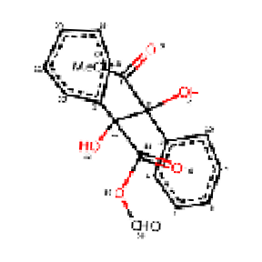 COC(=O)C(O)(c1ccccc1)C(O)(C(=O)OC=O)c1ccccc1